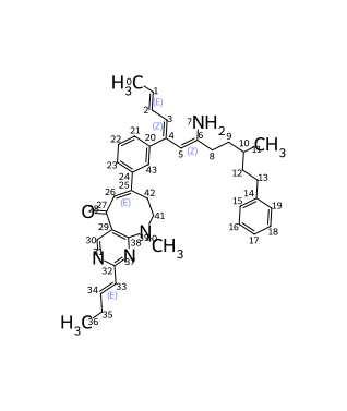 C/C=C/C=C(/C=C(\N)CCC(C)CCc1ccccc1)c1cccc(/C2=C/C(=O)c3cnc(/C=C/CC)nc3N(C)CC2)c1